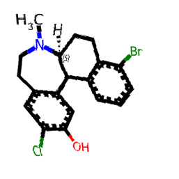 CN1CCc2cc(Cl)c(O)cc2C2c3cccc(Br)c3CC[C@@H]21